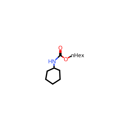 CCCCCCOC(=O)NC1CCCCC1